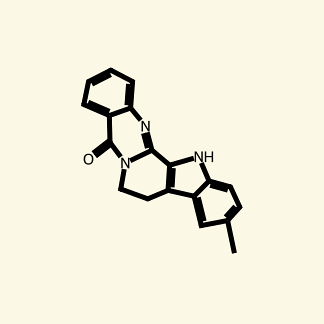 Cc1ccc2[nH]c3c(c2c1)CCn1c-3nc2ccccc2c1=O